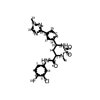 CN1C(C(=O)Nc2ccc(F)c(Cl)c2)CC(c2cc(-c3ncn(C)n3)cs2)NS1(=O)=O